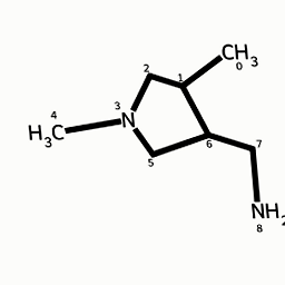 CC1CN(C)CC1CN